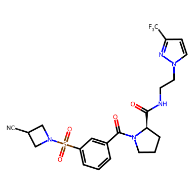 N#CC1CN(S(=O)(=O)c2cccc(C(=O)N3CCC[C@@H]3C(=O)NCCn3ccc(C(F)(F)F)n3)c2)C1